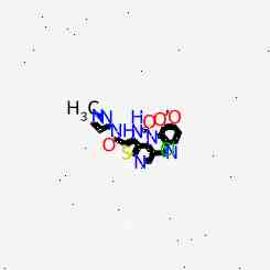 Cn1ccc(NC(=O)c2sc3ncc(C#N)c4c3c2NC(=O)N4c2c(Cl)ccc3c2OCO3)n1